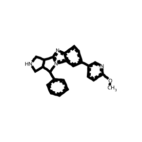 COc1ccc(-c2ccc3nc4n(c3c2)C(c2ccccc2)C2CNCC42)cn1